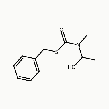 CC(O)N(C)C(=O)SCc1ccccc1